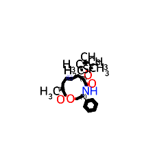 C[C@@H]1C/C=C/C[C@@H](O[Si](C)(C)C(C)(C)C)C(=O)N[C@H](c2ccccc2)COC1=O